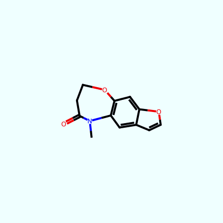 CN1C(=O)CCOc2cc3occc3cc21